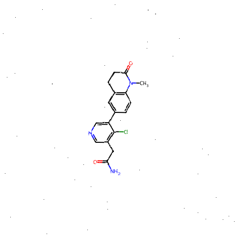 CN1C(=O)CCc2cc(-c3cncc(CC(N)=O)c3Cl)ccc21